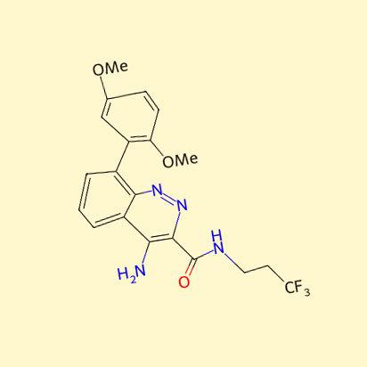 COc1ccc(OC)c(-c2cccc3c(N)c(C(=O)NCCC(F)(F)F)nnc23)c1